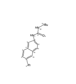 CC(C)c1ccc2cc(NC(=O)NC(C)(C)C)ccc2c1